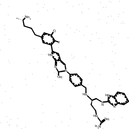 C[C@H](N)CCCc1cc(Cl)c(F)c(-c2cc3c([nH]2)=NC(O)N(c2ccc(CN[C@H](CCNC(=N)N)CNc4nc5ccccc5[nH]4)cc2)C=3)c1